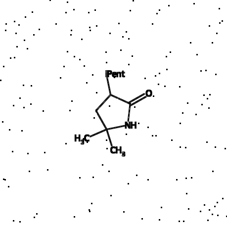 CCCC(C)C1CC(C)(C)NC1=O